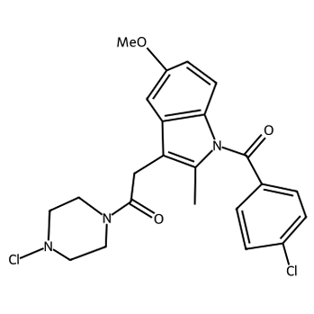 COc1ccc2c(c1)c(CC(=O)N1CCN(Cl)CC1)c(C)n2C(=O)c1ccc(Cl)cc1